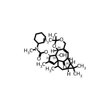 CC1=CC23C(=O)[C@@H](C=C4COC(C)(C)O[C@H]4[C@]2(O)[C@H]1OC(=O)N(C)C1CCCCC1)[C@H]1[C@@H](CC3C)C1(C)C